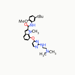 COc1ccc(C(C)(C)C)cc1NC(=O)c1cc2cccc(Oc3ccnc(NCCN(C)C)n3)c2n1C